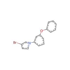 Brc1ccn(-c2cccc(Oc3ccccc3)c2)c1